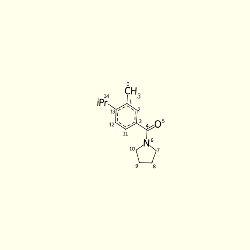 Cc1cc(C(=O)N2CCCC2)ccc1C(C)C